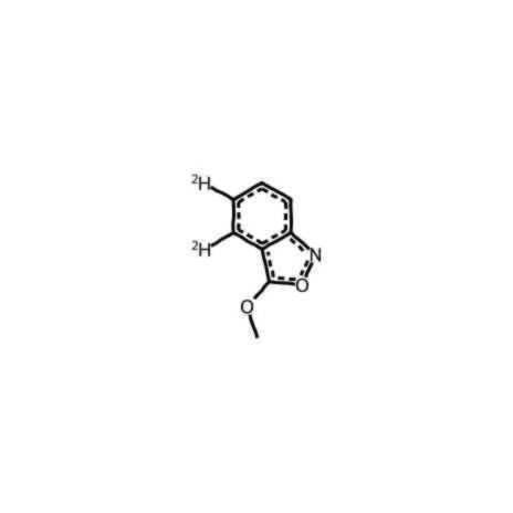 [2H]c1ccc2noc(OC)c2c1[2H]